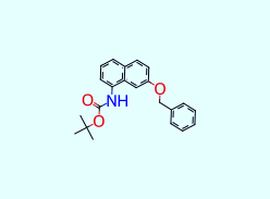 CC(C)(C)OC(=O)Nc1cccc2ccc(OCc3ccccc3)cc12